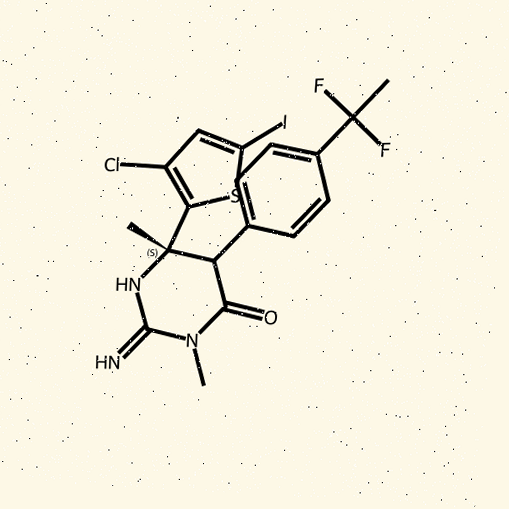 CN1C(=N)N[C@](C)(c2sc(I)cc2Cl)C(c2ccc(C(C)(F)F)cc2)C1=O